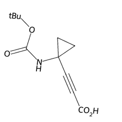 CC(C)(C)OC(=O)NC1(C#CC(=O)O)CC1